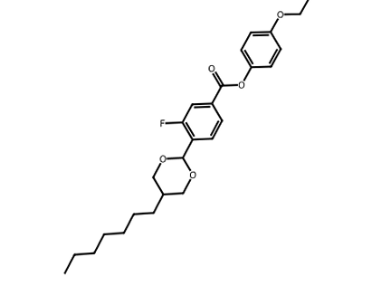 CCCCCCCC1COC(c2ccc(C(=O)Oc3ccc(OCCC)cc3)cc2F)OC1